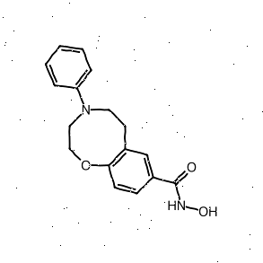 O=C(NO)c1ccc2c(c1)CCN(c1ccccc1)CCO2